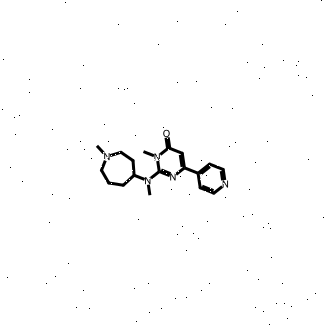 CN1CCCC(N(C)c2nc(-c3ccncc3)cc(=O)n2C)CC1